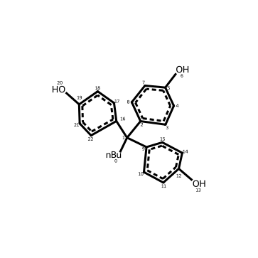 CCCCC(c1ccc(O)cc1)(c1ccc(O)cc1)c1ccc(O)cc1